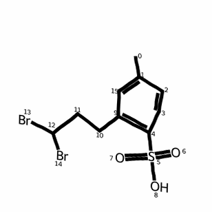 Cc1ccc(S(=O)(=O)O)c(CCC(Br)Br)c1